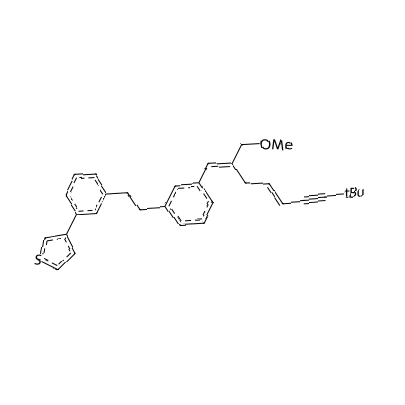 COCC(=Cc1cccc(CCc2cccc(-c3ccsc3)c2)c1)CC=CC#CC(C)(C)C